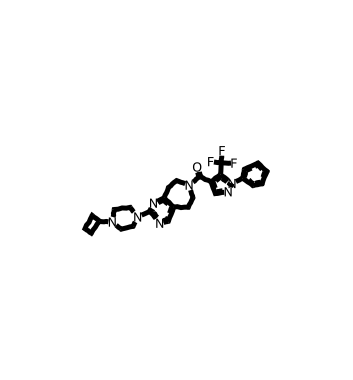 O=C(c1cnn(-c2ccccc2)c1C(F)(F)F)N1CCc2cnc(N3CCN(C4CCC4)CC3)nc2CC1